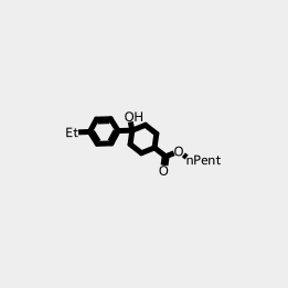 CCCCCOC(=O)C1CCC(O)(c2ccc(CC)cc2)CC1